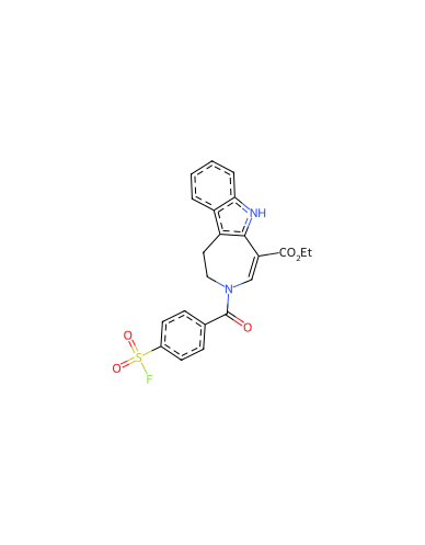 CCOC(=O)C1=CN(C(=O)c2ccc(S(=O)(=O)F)cc2)CCc2c1[nH]c1ccccc21